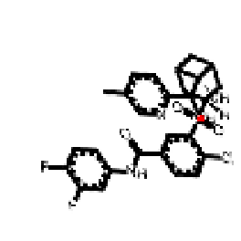 Cc1ccc(C(O)[C@]2(O)C3CC2C[C@@H](S(=O)(=O)c2cc(C(=O)Nc4ccc(F)c(F)c4)ccc2Cl)C3)nc1